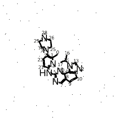 Cc1nc(Nc2ncc3ccc4ncn(C(C)C)c4c3n2)ccc1N1CCN(C)CC1